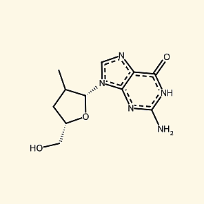 CC1C[C@@H](CO)O[C@H]1n1cnc2c(=O)[nH]c(N)nc21